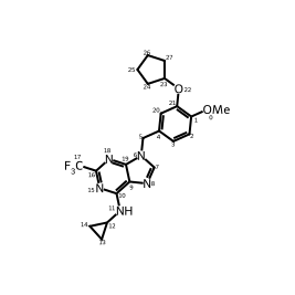 COc1ccc(Cn2cnc3c(NC4CC4)nc(C(F)(F)F)nc32)cc1OC1CCCC1